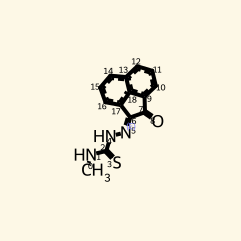 CNC(=S)N/N=C1/C(=O)c2cccc3cccc1c23